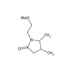 COCCN1C(=O)CC(C)C1C